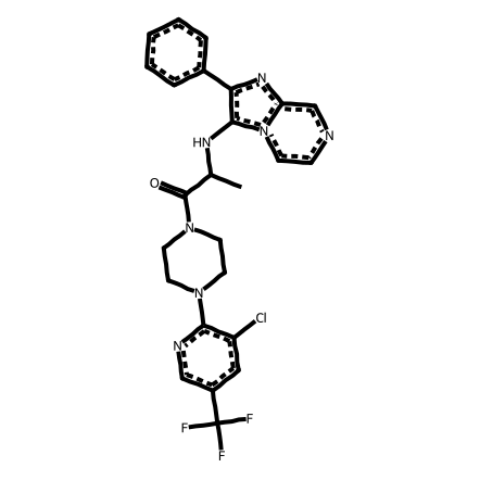 CC(Nc1c(-c2ccccc2)nc2cnccn12)C(=O)N1CCN(c2ncc(C(F)(F)F)cc2Cl)CC1